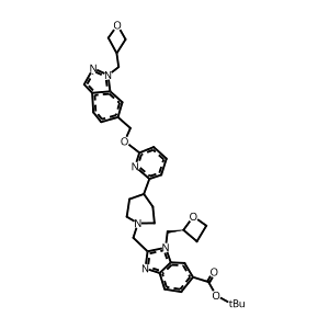 CC(C)(C)OC(=O)c1ccc2nc(CN3CCC(c4cccc(OCc5ccc6cnn(CC7COC7)c6c5)n4)CC3)n(C[C@@H]3CCO3)c2c1